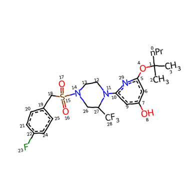 CCCC(C)(C)Oc1cc(O)cc(N2CCN(S(=O)(=O)Cc3ccc(F)cc3)CC2C(F)(F)F)n1